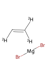 [2H]C=C([2H])[2H].[Br][Mg][Br]